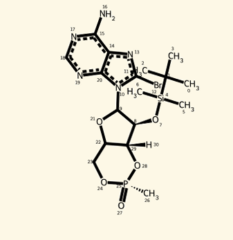 CC(C)(C)[Si](C)(C)O[C@@H]1C(n2c(Br)nc3c(N)ncnc32)OC2CO[P@](C)(=O)O[C@H]21